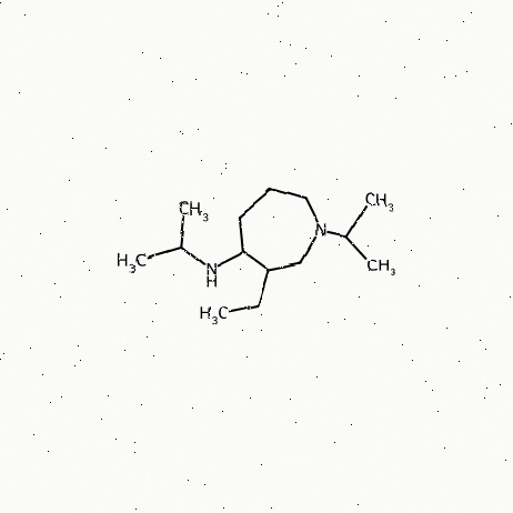 CCC1CN(C(C)C)CCCC1NC(C)C